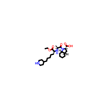 CCOC(=O)[C@H](CCCCCC1CCNCC1)N[C@@H](C)C(=O)N1[C@H](C(=O)O)C[C@@H]2CCCC[C@@H]21